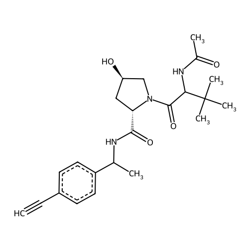 C#Cc1ccc(C(C)NC(=O)[C@@H]2C[C@@H](O)CN2C(=O)C(NC(C)=O)C(C)(C)C)cc1